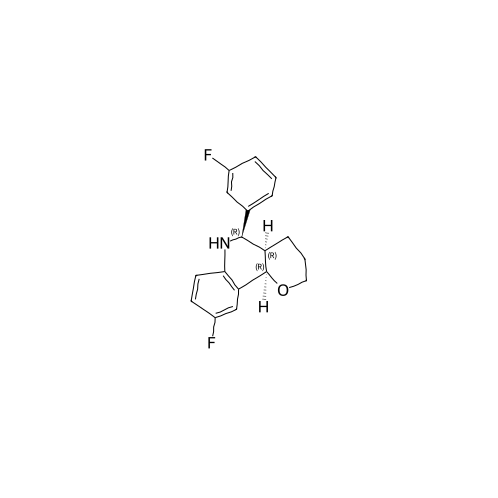 Fc1cccc([C@@H]2Nc3ccc(F)cc3[C@@H]3OCCC[C@H]23)c1